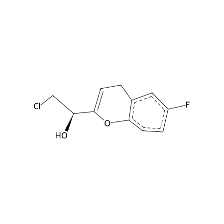 O[C@@H](CCl)C1=CCc2cc(F)ccc2O1